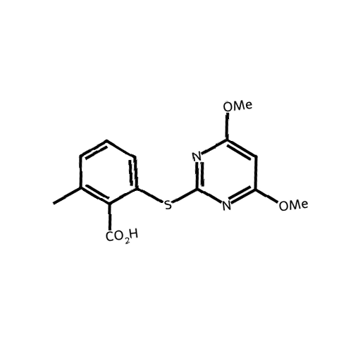 COc1cc(OC)nc(Sc2cccc(C)c2C(=O)O)n1